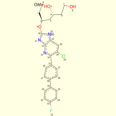 COC[C@@H](C[C@H](O)CCO)Oc1nc2nc(-c3ccc(-c4ccc(F)cc4)cc3)c(Cl)cc2[nH]1